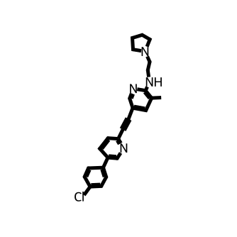 Cc1cc(C#Cc2ccc(-c3ccc(Cl)cc3)cn2)cnc1NCCN1CCCC1